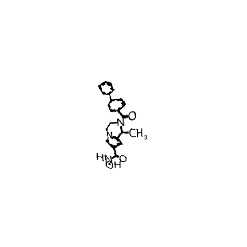 CC1c2cc(C(=O)NO)cn2CCN1C(=O)c1ccc(-c2ccccc2)cc1